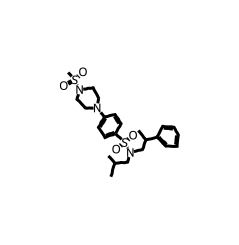 CC(C)CN(CC(C)c1ccccc1)S(=O)(=O)c1ccc(N2CCN(S(C)(=O)=O)CC2)cc1